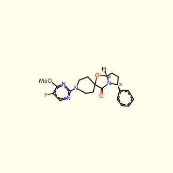 COc1nc(N2CCC3(CC2)O[C@@H]2CC[C@@H](c4ccccc4)N2C3=O)ncc1F